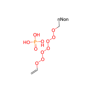 C=COOOOOOOCCCCCCCCCC.O=P(O)(O)O